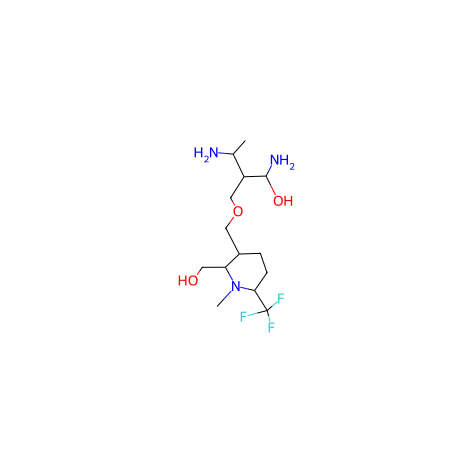 CC(N)C(COCC1CCC(C(F)(F)F)N(C)C1CO)C(N)O